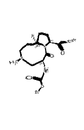 COC(=O)[C@@H]1CC[C@@H]2CCN(C)C[C@H](NC(=O)OC(C)(C)C)C(=O)N21